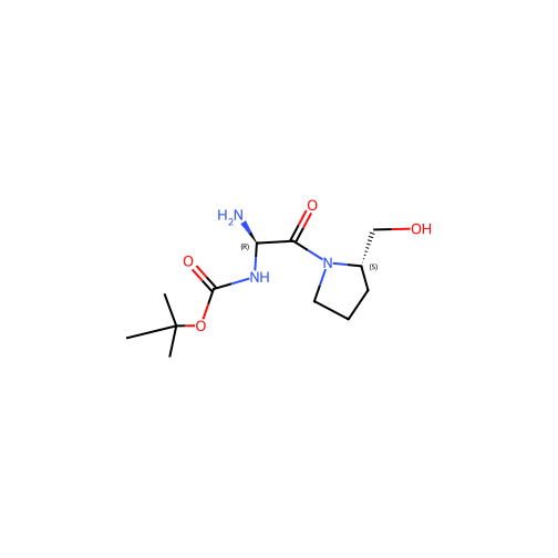 CC(C)(C)OC(=O)N[C@@H](N)C(=O)N1CCC[C@H]1CO